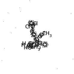 CCOOCC1CN(C(=O)OCc2ccccc2)C(CCC(C)(C)[Si](C)(C)O)C=C1c1ccc(OCCOc2c(Cl)cccc2Cl)cc1